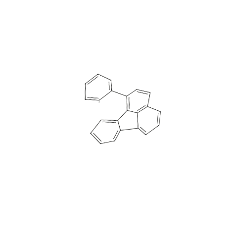 [c]1ccccc1-c1ccc2cccc3c2c1-c1ccccc1-3